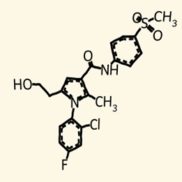 Cc1c(C(=O)Nc2ccc(S(C)(=O)=O)cc2)cc(CCO)n1-c1ccc(F)cc1Cl